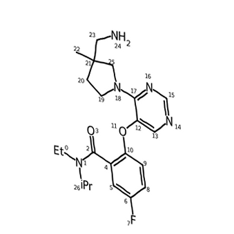 CCN(C(=O)c1cc(F)ccc1Oc1cncnc1N1CCC(C)(CN)C1)C(C)C